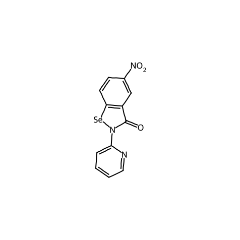 O=c1c2cc([N+](=O)[O-])ccc2[se]n1-c1ccccn1